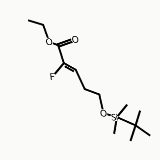 CCOC(=O)/C(F)=C/CCO[Si](C)(C)C(C)(C)C